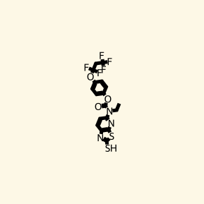 CCN(C(=O)Oc1ccc(OC(F)(F)CC(F)(F)F)cc1)c1ccc2nc(S)sc2n1